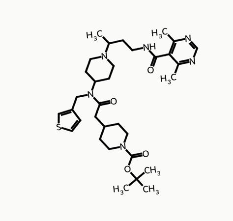 Cc1ncnc(C)c1C(=O)NCCC(C)N1CCC(N(Cc2ccsc2)C(=O)CC2CCN(C(=O)OC(C)(C)C)CC2)CC1